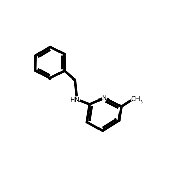 Cc1cccc(NCc2ccccc2)n1